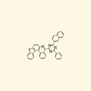 c1ccc(-c2nc(-c3ccc4ccccc4c3)nc(-c3nc4ccc5sc6ccccc6c5c4c4ccccc34)n2)cc1